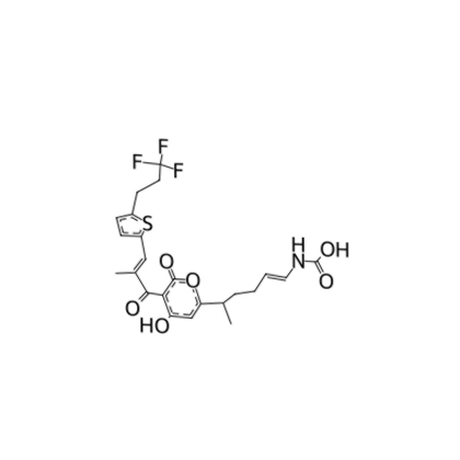 CC(=Cc1ccc(CCC(F)(F)F)s1)C(=O)c1c(O)cc(C(C)CC/C=C/NC(=O)O)oc1=O